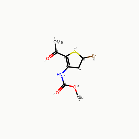 COC(=O)C1=C(NC(=O)OC(C)(C)C)CC(Br)S1